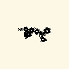 N#Cc1ccc2c(c1)C1(c3cc(-c4ccc(-c5nc(-c6ccccc6)nc(-c6ccccc6)n5)cc4)ccc3-2)C2CC3CC(C2)CC1C3